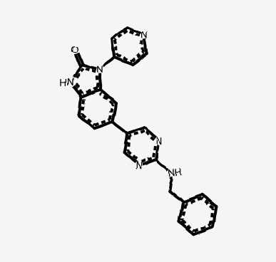 O=c1[nH]c2ccc(-c3cnc(NCc4ccccc4)nc3)cc2n1-c1ccncc1